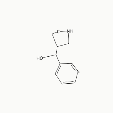 OC(c1cccnc1)C1CCNC1